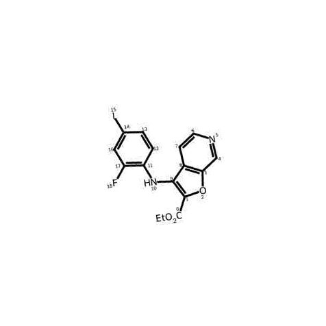 CCOC(=O)c1oc2cnccc2c1Nc1ccc(I)cc1F